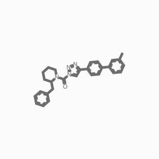 Cc1cccc(-c2ccc(-c3cn(C(=O)N4CCCCC4Cc4ccccc4)nn3)cc2)c1